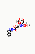 CC(C)(CO)C(O)C(=O)NCCC(=O)C(=O)NCc1cccc2ccccc12